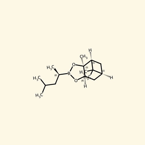 CC(C)C[C@@H](C)B1O[C@@H]2C[C@@H]3C[C@@H](C3(C)C)[C@]2(C)O1